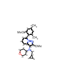 COc1cc(C)cc(C)c1-c1cccc2c(N(CC3CC3)C3CCOCC3)c(OC)nn12